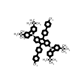 C[Si](C)(C)c1ccc2c(c1)c1cc([Si](C)(C)C)ccc1n2-c1ccc2c(-c3ccc(-c4ccc(C(F)(F)F)cc4)cc3)c3cc(-n4c5ccc([Si](C)(C)C)cc5c5cc([Si](C)(C)C)ccc54)ccc3c(-c3ccc(-c4ccc(C(F)(F)F)cc4)cc3)c2c1